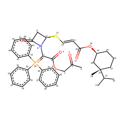 CC(=O)COC(=O)C(N1C(=O)C[C@H]1SC=CC(=O)O[C@H]1CCC[C@](C)(C(C)C)C1)=P(c1ccccc1)(c1ccccc1)c1ccccc1